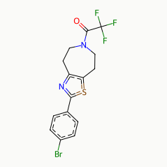 O=C(N1CCc2nc(-c3ccc(Br)cc3)sc2CC1)C(F)(F)F